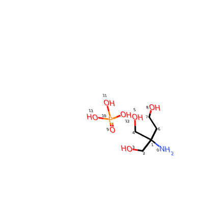 NC(CO)(CO)CCO.O=P(O)(O)O